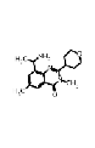 Cc1cc(C(C)N)c2nc(C3CCOCC3)n(C)c(=O)c2c1